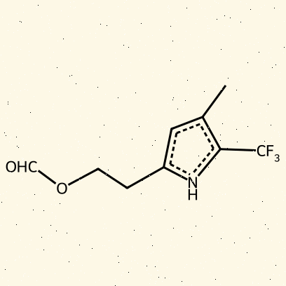 Cc1cc(CCOC=O)[nH]c1C(F)(F)F